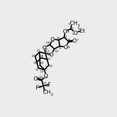 CCOC(C)OC1C(=O)OC2C3OC4(OC3OC12)C1CC2CC4CC(OC(=O)C(C)(F)F)(C2)C1